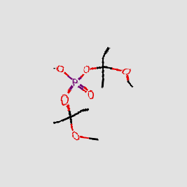 COC(C)(C)OP([O])(=O)OC(C)(C)OC